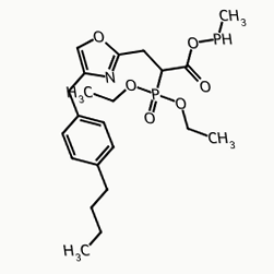 CCCCc1ccc(Cc2coc(CC(C(=O)OPC)P(=O)(OCC)OCC)n2)cc1